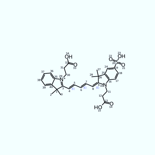 CC1(C)C(/C=C/C=C/C=C2/N(CCC(=O)O)c3ccc(S(=O)(=O)O)cc3C2(C)C)=[N+](CCC(=O)O)c2ccccc21